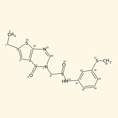 CCc1cc2c(=O)n(CC(=O)Nc3cccc(SC)c3)cnc2s1